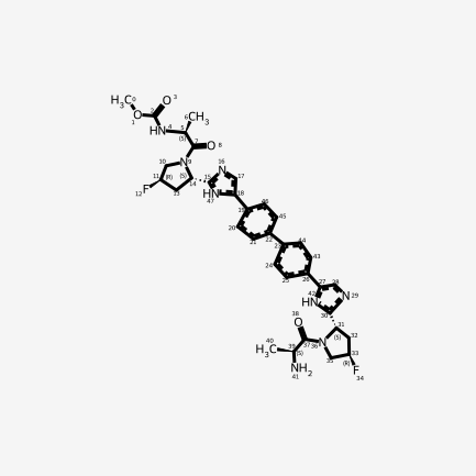 COC(=O)N[C@@H](C)C(=O)N1C[C@H](F)C[C@H]1c1ncc(-c2ccc(-c3ccc(-c4cnc([C@@H]5C[C@@H](F)CN5C(=O)[C@H](C)N)[nH]4)cc3)cc2)[nH]1